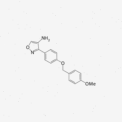 COc1ccc(COc2ccc(-c3nocc3N)cc2)cc1